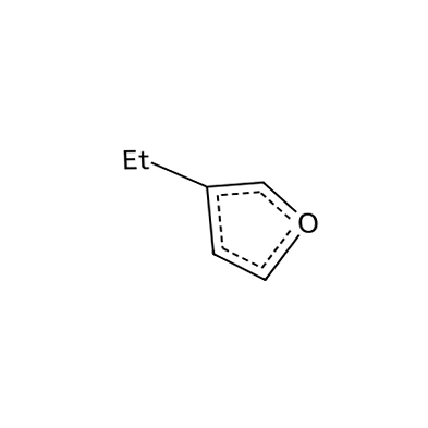 CCc1ccoc1